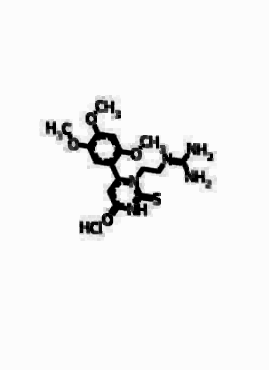 COc1cc(OC)c(-c2cc(=O)[nH]c(=S)n2CCN=C(N)N)cc1OC.Cl